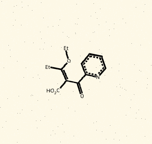 CCOC(CC)=C(C(=O)O)C(=O)c1ccccn1